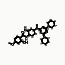 COc1ccc(C(=O)NC2CCC(Nc3nc(N4CCCCC4)nc(N4CCCCC4)n3)CC2O)c(O)c1